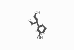 O=CC(C=CO)c1cccc(O)c1